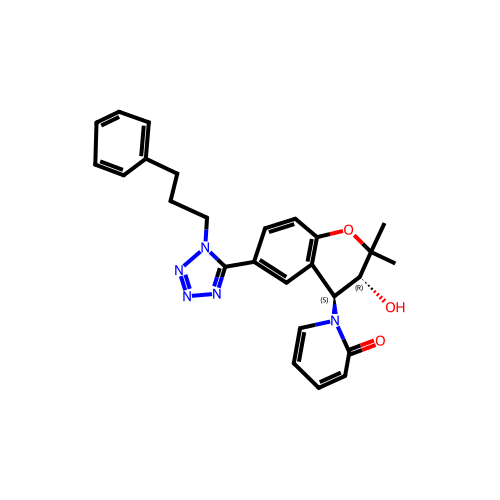 CC1(C)Oc2ccc(-c3nnnn3CCCc3ccccc3)cc2[C@H](n2ccccc2=O)[C@H]1O